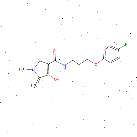 C=C1C(O)=C(C(=O)NCCCOc2ccc(F)cc2)CN1C